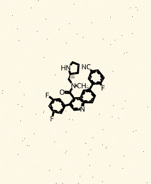 CN(C[C@@H]1CCCN1)C(=O)c1c(-c2cc(F)cc(F)c2)cnc2ccc(-c3cc(C#N)ccc3F)cc12